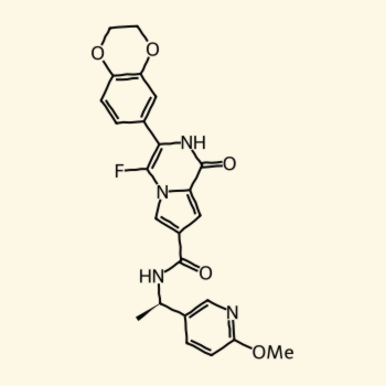 COc1ccc([C@@H](C)NC(=O)c2cc3c(=O)[nH]c(-c4ccc5c(c4)OCCO5)c(F)n3c2)cn1